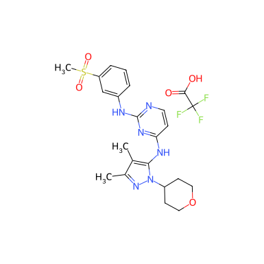 Cc1nn(C2CCOCC2)c(Nc2ccnc(Nc3cccc(S(C)(=O)=O)c3)n2)c1C.O=C(O)C(F)(F)F